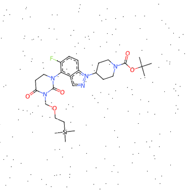 CC(C)(C)OC(=O)N1CCC(n2ncc3c(N4CCC(=O)N(COCC[Si](C)(C)C)C4=O)c(F)ccc32)CC1